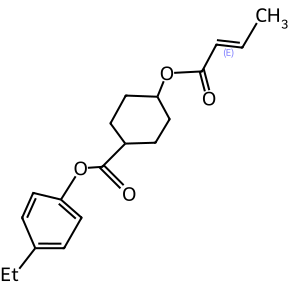 C/C=C/C(=O)OC1CCC(C(=O)Oc2ccc(CC)cc2)CC1